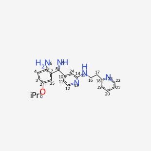 CC(C)Oc1ccc(N)c(C(=N)c2ccnc(NCCc3ccccn3)c2)c1